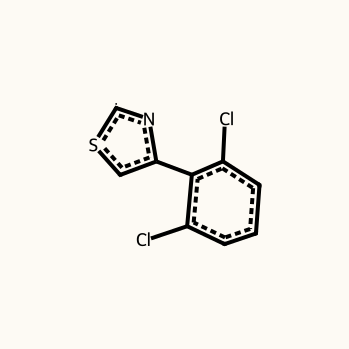 Clc1cccc(Cl)c1-c1cs[c]n1